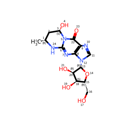 C[C@@H]1C[C@H](O)n2c(nc3c(ncn3[C@@H]3O[C@H](CO)[C@@H](O)[C@H]3O)c2=O)N1